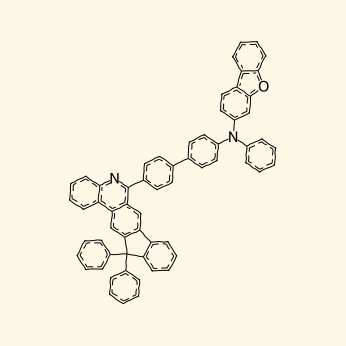 c1ccc(N(c2ccc(-c3ccc(-c4nc5ccccc5c5cc6c(cc45)-c4ccccc4C6(c4ccccc4)c4ccccc4)cc3)cc2)c2ccc3c(c2)oc2ccccc23)cc1